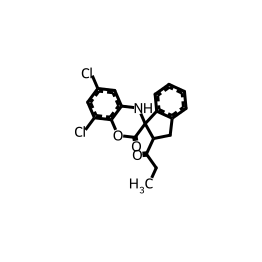 CCC(=O)C1Cc2ccccc2C12Nc1cc(Cl)cc(Cl)c1OC2=O